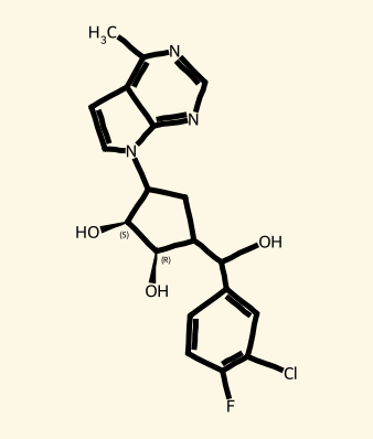 Cc1ncnc2c1ccn2C1CC(C(O)c2ccc(F)c(Cl)c2)[C@@H](O)[C@H]1O